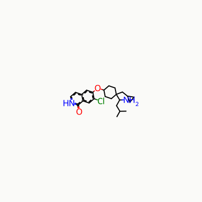 CC(C)CC(N)C1(CC2CC2)CCC(Oc2cc3cc[nH]c(=O)c3cc2Cl)CC1